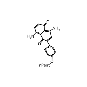 CCCCCOc1ccc(C2=CC(N)=C3C(=O)C=CC(N)=C3C2=O)cc1